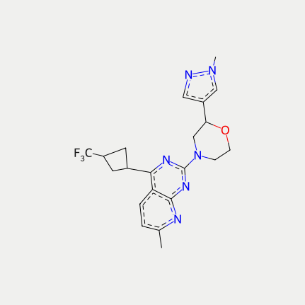 Cc1ccc2c(C3CC(C(F)(F)F)C3)nc(N3CCOC(c4cnn(C)c4)C3)nc2n1